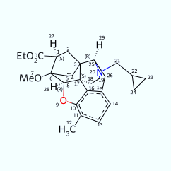 CCOC(=O)[C@H]1CC23C=CC1(OC)[C@@H]1Oc4c(C)ccc5c4[C@@]12CCN(CC1CC1)[C@@H]3C5